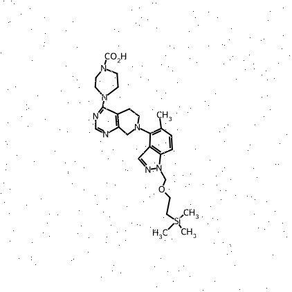 Cc1ccc2c(cnn2COCC[Si](C)(C)C)c1N1CCc2c(ncnc2N2CCN(C(=O)O)CC2)C1